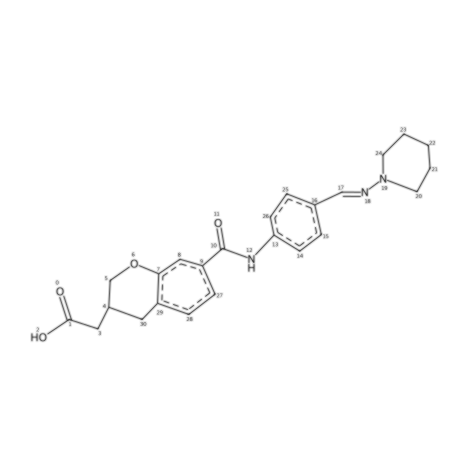 O=C(O)CC1COc2cc(C(=O)Nc3ccc(C=NN4CCCCC4)cc3)ccc2C1